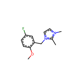 COc1ccc(F)cc1C[n+]1ccn(C)c1C